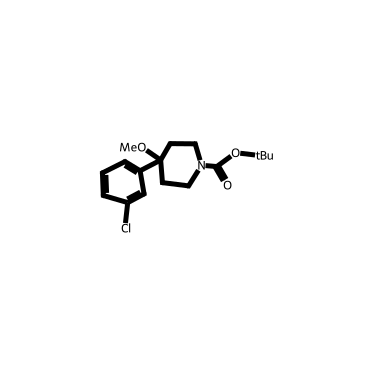 COC1(c2cccc(Cl)c2)CCN(C(=O)OC(C)(C)C)CC1